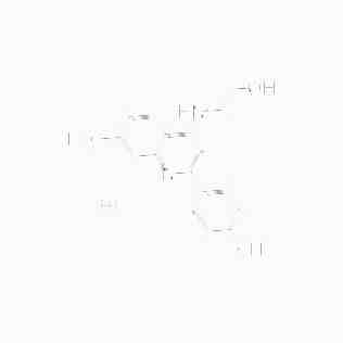 Cc1ccc(-c2cc(NCCO)c3ccc(C)cc3n2)cc1.Cl